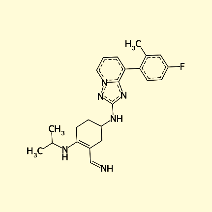 Cc1cc(F)ccc1-c1cccn2nc(NC3CCC(NC(C)C)=C(C=N)C3)nc12